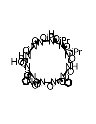 CC(C)C[C@H]1C(=O)N(C)[C@@H](C(C)C)C(=O)N[C@@H](C(C)C)C(=O)N(C)C(=O)N(C)[C@@H](C)C(=O)N[C@@H]([C@@H](C)O)C(=O)N(C)[C@@H](C)C(=O)N[C@H](C(=O)N2CCCCC2)C(=O)N(C)[C@@H](C)C(=O)N(C)C(C)C(=O)N(C)[C@@H](Cc2ccccc2)C(=O)NC(C)C(=O)N1C